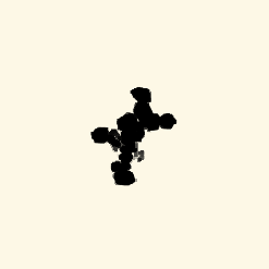 C=C/C(=C\C=C\C/C=C(\N=C(/N)c1ccccc1)c1ccc(-n2c3ccc(-c4ccccc4)cc3c3cc(-c4ccccc4)ccc32)c2ccccc12)c1ccccc1